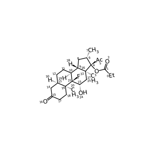 CCC(=O)O[C@@]1(C(C)=O)[C@@H](C)C[C@H]2[C@@H]3CC[C@@H]4CC(=O)CC[C@]4(C)[C@@]3(F)[C@@H](O)C[C@@]21C